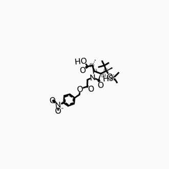 C[C@@H](C(=O)O)[C@@H]1[C@@H]([C@@](C)(O[SiH](C)C)C(C)(C)C)C(=O)N1CC(=O)OCc1ccc([N+](=O)[O-])cc1